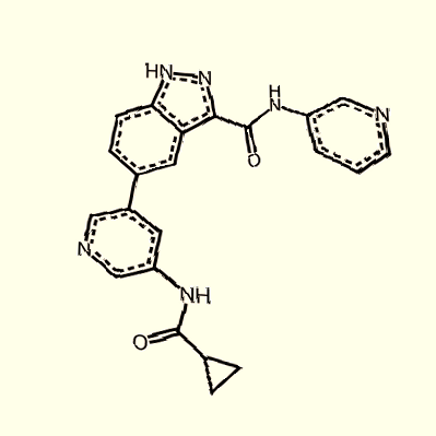 O=C(Nc1cccnc1)c1n[nH]c2ccc(-c3cncc(NC(=O)C4CC4)c3)cc12